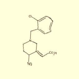 O=NC1CCN(Cc2ccccc2Cl)C/C1=C\C(=O)O